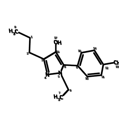 CCCc1nn(CC)c(-c2ccc(C)cc2)c1O